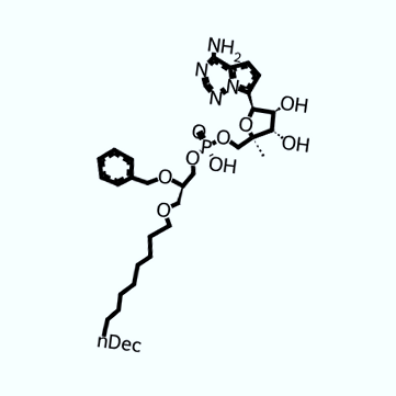 CCCCCCCCCCCCCCCCCCOC[C@H](COP(=O)(O)OC[C@@]1(C)O[C@@H](c2ccc3c(N)ncnn23)[C@H](O)[C@@H]1O)OCc1ccccc1